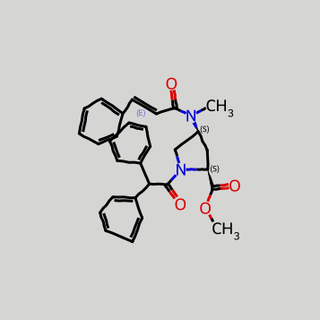 COC(=O)[C@@H]1C[C@H](N(C)C(=O)/C=C/c2ccccc2)CN1C(=O)C(c1ccccc1)c1ccccc1